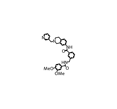 COc1ccc(C(=O)NCc2cccc(C(=O)Nc3ccc4c(c3)CN(Cc3cccnc3)CC4)c2)cc1OC